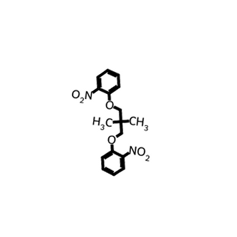 CC(C)(COc1ccccc1[N+](=O)[O-])COc1ccccc1[N+](=O)[O-]